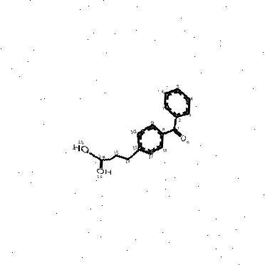 O=C(c1ccccc1)c1ccc(CCC(O)O)cc1